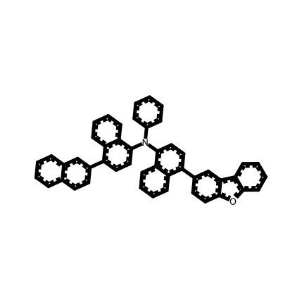 c1ccc(N(c2ccc(-c3ccc4ccccc4c3)c3ccccc23)c2ccc(-c3ccc4oc5ccccc5c4c3)c3ccccc23)cc1